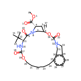 COC(=O)[C@@H]1C[C@@H]2CN1C(=O)[C@H](C(C)(C)C)NC(=O)OCCCCCc1cccc3c1CN(C3)C(=O)O2